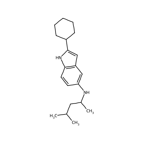 CC(C)CC(C)Nc1ccc2[nH]c(C3CCCCC3)cc2c1